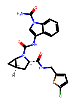 NC(=O)n1cc(NC(=O)N2C3C[C@@H]3C[C@H]2C(=O)NCc2ccc(Cl)s2)c2ccccc21